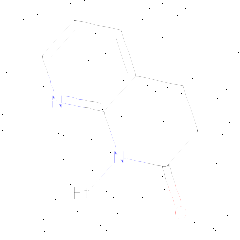 CCN1C(=O)CCc2cccnc21